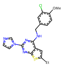 CCc1cc2c(NCc3ccc(OC)c(Cl)c3)nc(-n3ccnc3)nc2s1